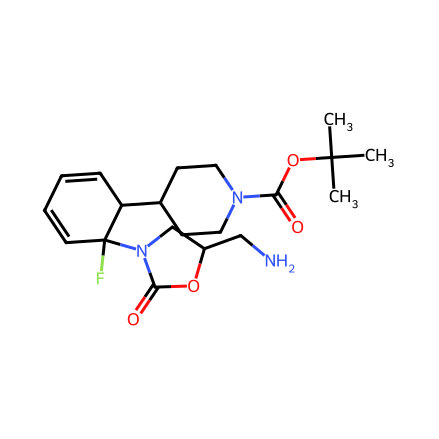 CC(C)(C)OC(=O)N1CCC(C2C=CC=CC2(F)N2CC(CN)OC2=O)CC1